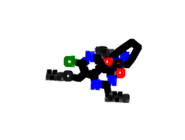 COCc1c(Cl)ncc2c(N3CC4CCC(C3)N4C(=O)OC(C)(C)C)nc(SC)nc12